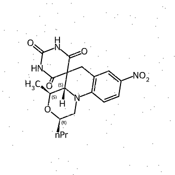 CCC[C@@H]1CN2c3ccc([N+](=O)[O-])cc3CC3(C(=O)NC(=O)NC3=O)[C@H]2[C@H](C)O1